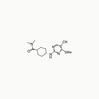 CSc1nc(N[C@H]2CC[C@H](C(=O)N(C)C)CC2)ncc1C#N